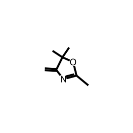 C=C1N=C(C)OC1(C)C